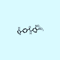 O=C(Nc1ccc([N+](=O)[O-])c([N+](=O)[O-])c1)c1ccc(-c2ncc[nH]2)cc1